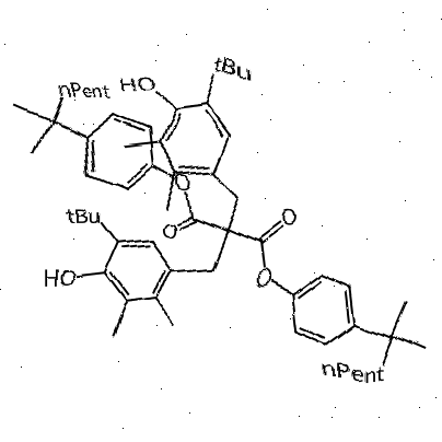 CCCCCC(C)(C)c1ccc(OC(=O)C(Cc2cc(C(C)(C)C)c(O)c(C)c2C)(Cc2cc(C(C)(C)C)c(O)c(C)c2C)C(=O)Oc2ccc(C(C)(C)CCCCC)cc2)cc1